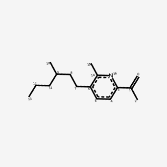 C=C(C)c1ccc(CCC(C)CCC)c(C)n1